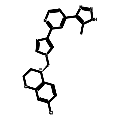 Cc1[nH]nnc1-c1ccnc(-c2cn(C[C@H]3CCOc4cc(Cl)ccc43)cn2)c1